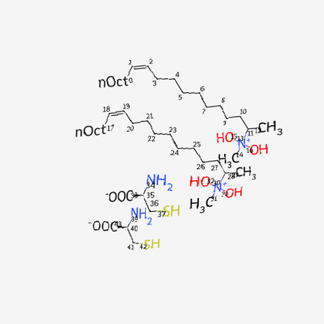 CCCCCCCC/C=C\CCCCCCCCC(C)[N+](C)(O)O.CCCCCCCC/C=C\CCCCCCCCC(C)[N+](C)(O)O.N[C@@H](CS)C(=O)[O-].N[C@@H](CS)C(=O)[O-]